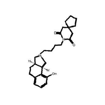 O=C1CC2(CCCC2)CC(=O)N1CCCCN1C[C@@H]2CCc3cccc(O)c3[C@@H]2C1